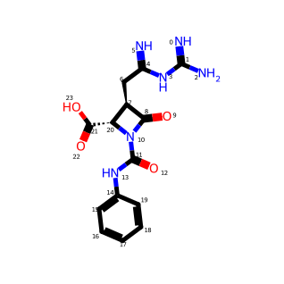 N=C(N)NC(=N)C[C@H]1C(=O)N(C(=O)Nc2ccccc2)[C@@H]1C(=O)O